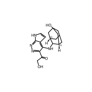 O=C(CO)c1nnc2[nH]ccc2c1NC1[C@H]2CC3C[C@H]1CC(O)(C3)C2